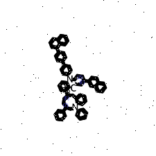 CC/C=C(\C=C/CN(c1ccc(-c2ccc(-c3cccc4ccccc34)cc2)cc1)c1cccc(/C2=C/C=C(/C3=CC=CCC3)CN(c3ccccc3)c3ccccc3C2)c1)c1ccc2ccccc2c1